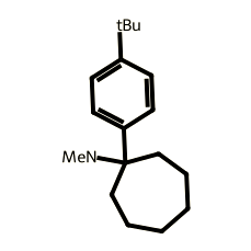 CNC1(c2ccc(C(C)(C)C)cc2)CCCCCC1